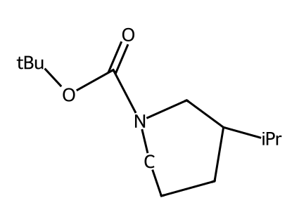 CC(C)C1CCCN(C(=O)OC(C)(C)C)C1